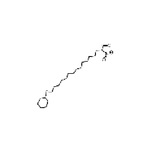 O=[C]C(CCCCCCCCCCCCCCOC1CC[CH]CC1)[N+](=O)[O-]